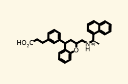 C[C@@H](NCC1CC(c2cccc(CCC(=O)O)c2)c2ccccc2O1)c1cccc2ccccc12